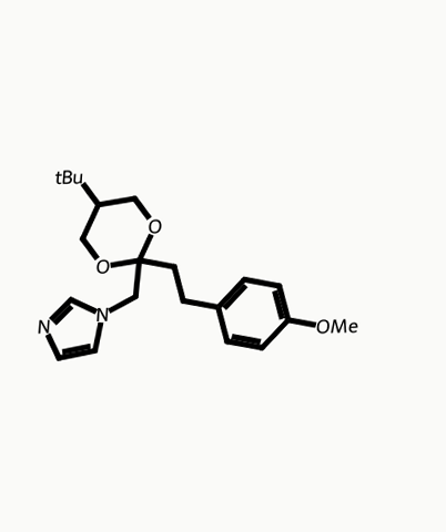 COc1ccc(CCC2(Cn3ccnc3)OCC(C(C)(C)C)CO2)cc1